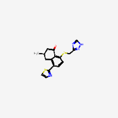 CC1CC(=O)c2c(SCc3nc[nH]n3)ccc(-c3nccs3)c2C1